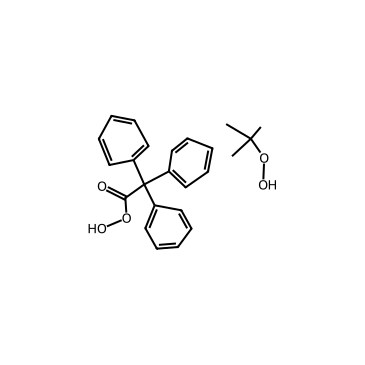 CC(C)(C)OO.O=C(OO)C(c1ccccc1)(c1ccccc1)c1ccccc1